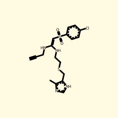 C#CCNC(=CS(=O)(=O)c1ccc(Cl)cc1)NCCSCc1[nH]cnc1C